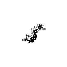 CC(CCC(O)C(C)(C)O)C1CCC2(C)C3CC=C4C(CCC(OC5OC(COC6OC(CO)C(O)C(O)C6O)C(O)C(O)C5O)C4(C)C)C3(C)C(O)CC12C